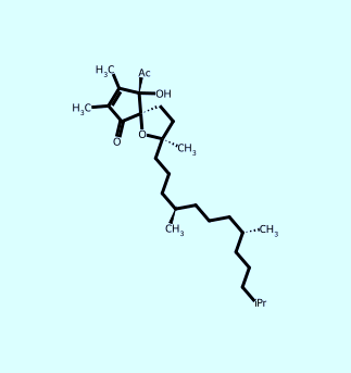 CC(=O)[C@]1(O)C(C)=C(C)C(=O)[C@@]12CC[C@@](C)(CCC[C@H](C)CCC[C@H](C)CCCC(C)C)O2